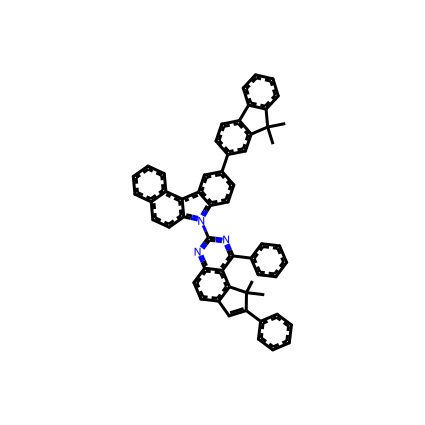 CC1(C)C(c2ccccc2)=Cc2ccc3nc(-n4c5ccc(-c6ccc7c(c6)C(C)(C)c6ccccc6-7)cc5c5c6ccccc6ccc54)nc(-c4ccccc4)c3c21